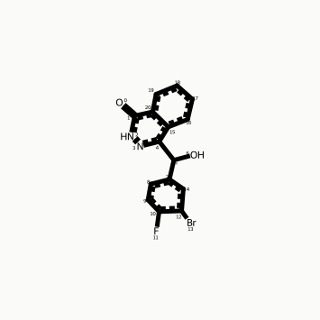 O=c1[nH]nc(C(O)c2ccc(F)c(Br)c2)c2ccccc12